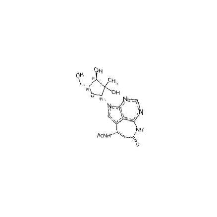 CC(=O)NC1=CC(=O)Nc2ncnc3c2c1cn3[C@@H]1O[C@H](CO)[C@@H](O)C1(C)O